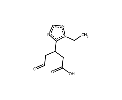 CCn1ncnc1C(CC=O)CC(=O)O